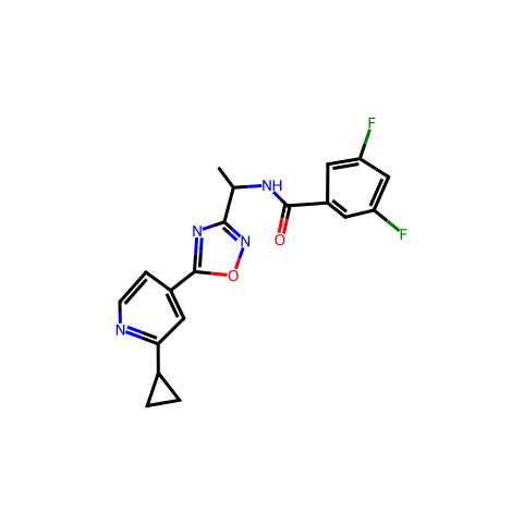 CC(NC(=O)c1cc(F)cc(F)c1)c1noc(-c2ccnc(C3CC3)c2)n1